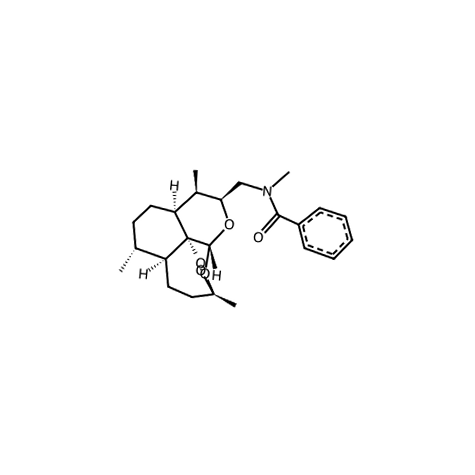 C[C@H]1[C@@H](CN(C)C(=O)c2ccccc2)O[C@@H]2O[C@@]3(C)CC[C@H]4[C@H](C)CC[C@@H]1[C@@]24OO3